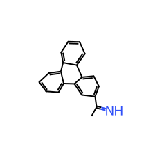 CC(=N)c1ccc2c3ccccc3c3ccccc3c2c1